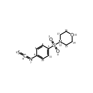 O=S(=O)(c1ccc(N=C=S)cc1)N1CCOCC1